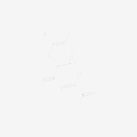 O=C(O)c1cc(=O)c2cc(Cl)c(F)cc2o1